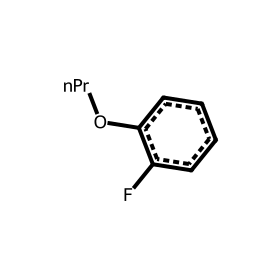 CCCOc1ccccc1F